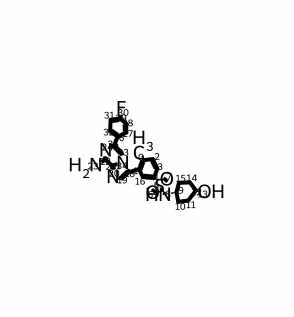 Cc1ccc(S(=O)(=O)N[C@H]2CC[C@H](O)CC2)cc1-c1cnc2c(N)nc(-c3ccc(F)cc3)cn12